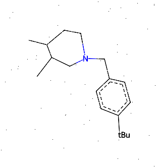 CC1CCN(Cc2ccc(C(C)(C)C)cc2)CC1C